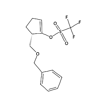 O=S(=O)(OC1=CCC[C@H]1COCc1ccccc1)C(F)(F)F